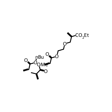 C=C(C)C(=O)OC.C=CC(=O)OCCCC.C=CC(=O)OCCOCC(=C)C(=O)OCC